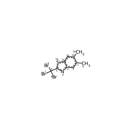 Cc1cc2nc(C(Br)(Br)Br)sc2cc1C